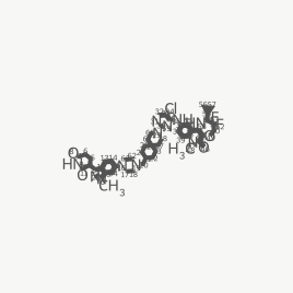 Cn1nc(C2CCC(=O)NC2=O)c2ccc(N3CCN(CC4CCC5(CC4)CCN(c4ncc(Cl)c(Nc6ccc7c(c6)c6c(c(=O)n7C)OCC(F)(F)C(C7CC7)N6)n4)CC5)CC3)cc21